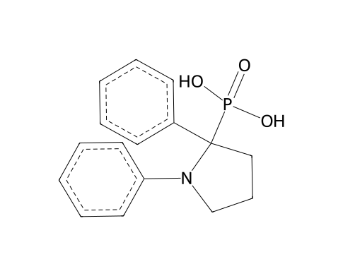 O=P(O)(O)C1(c2ccccc2)CCCN1c1ccccc1